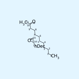 CCCCCCCCCCC(C)=O.CCCCCCCCCCC1CO1